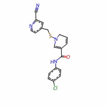 N#Cc1cc(CSN2C=C(C(=O)Nc3ccc(Cl)cc3)C=CC2)ccn1